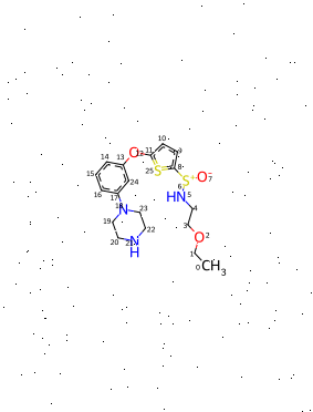 CCOCCN[S+]([O-])c1ccc(Oc2cccc(N3CCNCC3)c2)s1